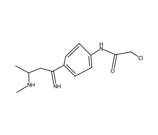 CNC(C)CC(=N)c1ccc(NC(=O)CCl)cc1